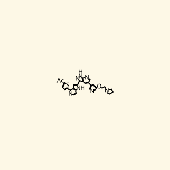 CC(=O)c1ccc(-c2nccc3[nH]c(-c4n[nH]c5ncc(-c6cncc(OCCN7CCCC7)c6)cc45)cc23)s1